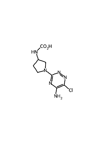 Nc1nc(N2CCC(NC(=O)O)C2)nnc1Cl